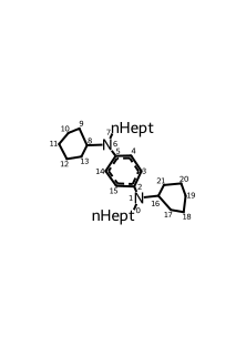 CCCCCCCN(c1ccc(N(CCCCCCC)C2CCCCC2)cc1)C1CCCCC1